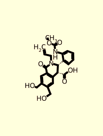 C=CCN1C(=O)c2cc(CO)c(CO)cc2[C@@H](C(=O)O)[C@H]1c1ccccc1NC(=O)OC